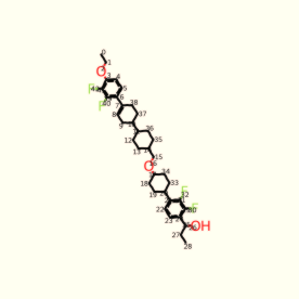 CCOc1ccc(C2=CCC(C3CCC(COC4CCC(c5ccc(C(O)CC)c(F)c5F)CC4)CC3)CC2)c(F)c1F